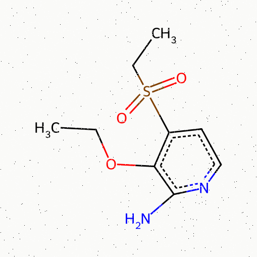 CCOc1c(S(=O)(=O)CC)ccnc1N